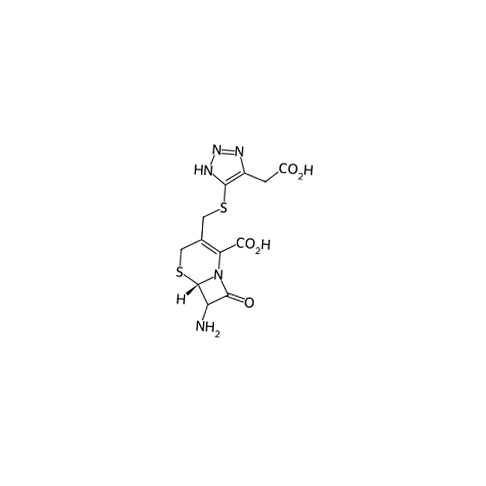 NC1C(=O)N2C(C(=O)O)=C(CSc3[nH]nnc3CC(=O)O)CS[C@@H]12